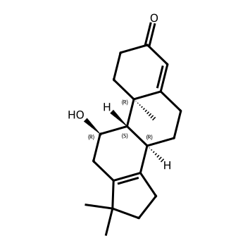 CC1(C)CCC2=C1C[C@@H](O)[C@H]1[C@H]2CCC2=CC(=O)CC[C@@]21C